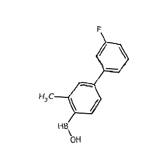 Cc1cc(-c2cccc(F)c2)ccc1BO